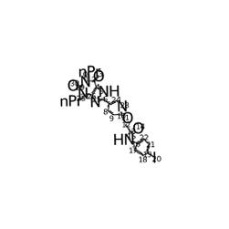 CCCn1c(=O)c2[nH]c(-c3ccc(OCC(=O)Nc4ccc(I)cc4)nc3)nc2n(CCC)c1=O